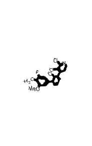 [CH2]c1c(F)cc(-c2cccc(-c3ccnc(Cl)c3Cl)c2Cl)cc1OC